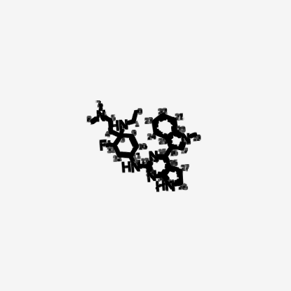 CCNC1(CCN(C)C)C=CC(Nc2nc(-c3cn(C)c4ccccc34)c3cc[nH]c3n2)=CC1F